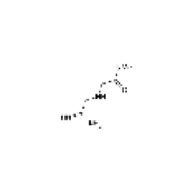 CNC(=O)CNCC(=N)N